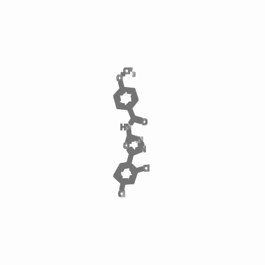 O=C(Nc1nnc(-c2ccc(Cl)cc2Cl)o1)c1ccc(OC(F)(F)F)cc1